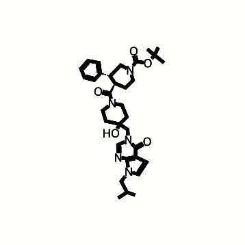 CC(C)Cn1ccc2c(=O)n(CC3(O)CCN(C(=O)[C@@H]4CCN(C(=O)OC(C)(C)C)C[C@H]4c4ccccc4)CC3)cnc21